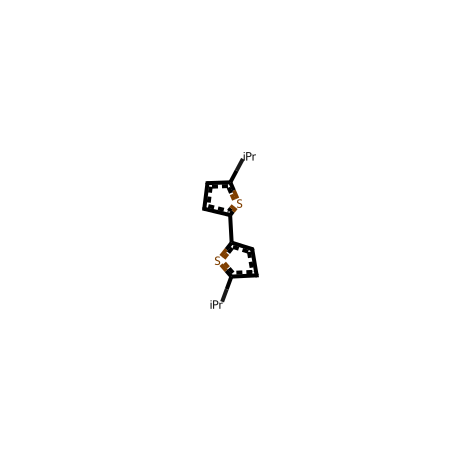 CC(C)c1ccc(-c2ccc(C(C)C)s2)s1